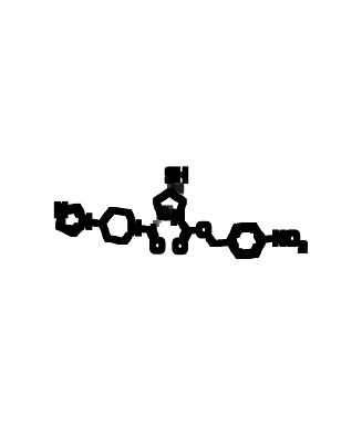 O=C([C@@H]1C[C@H](S)CN1C(=O)OCc1ccc([N+](=O)[O-])cc1)N1CCC(n2ccnc2)CC1